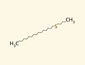 CCCCCCCCCCCCCCCCSCCCCC